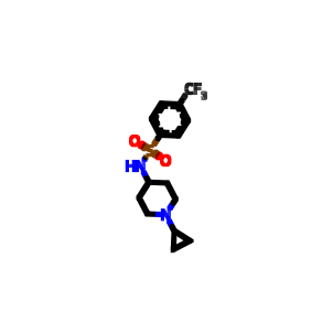 O=S(=O)(NC1CCN(C2CC2)CC1)c1ccc(C(F)(F)F)cc1